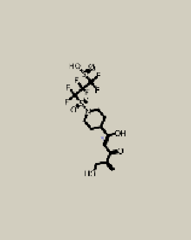 C=C(CO)C(=O)/C=C(\O)C1CCN(S(=O)(=O)C(F)(F)C(F)(F)C(F)(F)S(=O)(=O)O)CC1